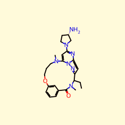 CCC1c2cc3nc(N4CC[C@H](N)C4)cc(n3n2)N(C)CCCOc2cccc(c2)C(=O)N1C